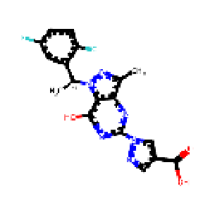 Cc1nn([C@@H](C)c2cc(F)ccc2F)c2c(O)nc(-n3cc(C(=O)O)cn3)nc12